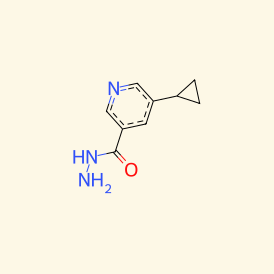 NNC(=O)c1cncc(C2CC2)c1